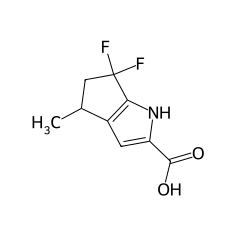 CC1CC(F)(F)c2[nH]c(C(=O)O)cc21